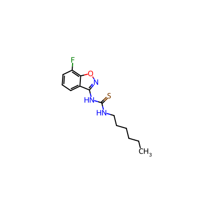 CCCCCCNC(=S)Nc1noc2c(F)cccc12